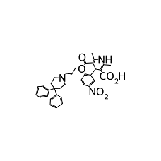 CC1=C(C(=O)O)C(c2cccc([N+](=O)[O-])c2)C(C(=O)OCCCN2CCC(c3ccccc3)(c3ccccc3)CC2)=C(C)N1